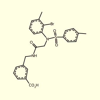 Cc1ccc(S(=O)(=O)N(CC(=O)NCc2cccc(C(=O)O)c2)c2cccc(C)c2Br)cc1